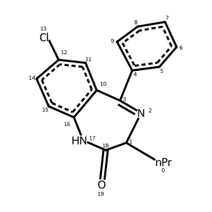 CCCC1N=C(c2ccccc2)c2cc(Cl)ccc2NC1=O